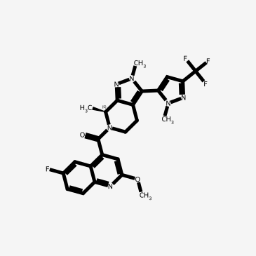 COc1cc(C(=O)N2CCc3c(nn(C)c3-c3cc(C(F)(F)F)nn3C)[C@@H]2C)c2cc(F)ccc2n1